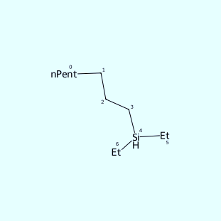 CCCCCCCC[SiH](CC)CC